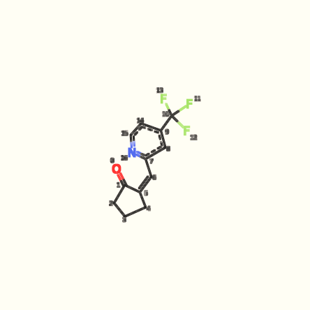 O=C1CCC/C1=C/c1cc(C(F)(F)F)ccn1